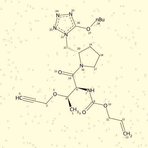 C#CCO[C@H](C)[C@H](NC(=O)OCC=C)C(=O)N1CCC[C@H]1Cn1nnnc1OCCCC